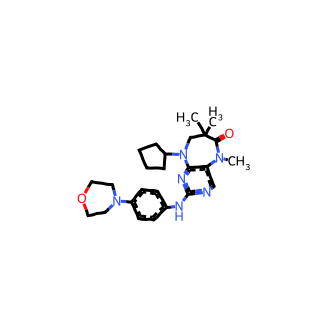 CN1C(=O)C(C)(C)CN(C2CCCC2)c2nc(Nc3ccc(N4CCOCC4)cc3)ncc21